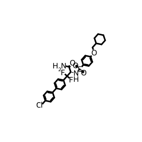 NC(=O)[C@H](NS(=O)(=O)c1ccc(OCC2CCCCC2)cc1)C(F)(F)c1ccc(-c2ccc(Cl)cc2)cc1